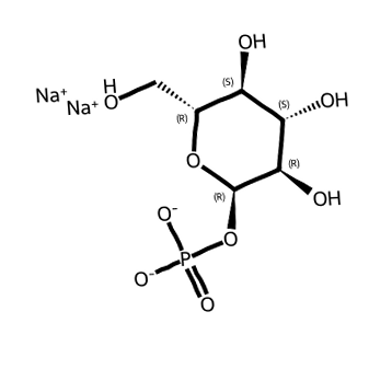 O=P([O-])([O-])O[C@H]1O[C@H](CO)[C@@H](O)[C@H](O)[C@H]1O.[Na+].[Na+]